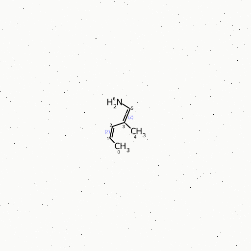 C/C=C\C(C)=C/N